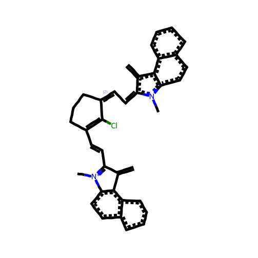 C=C1C(C=CC2=C(Cl)/C(=C\C=c3c(=C)c4c5ccccc5ccc4n3C)CCC2)=[N+](C)c2ccc3ccccc3c21